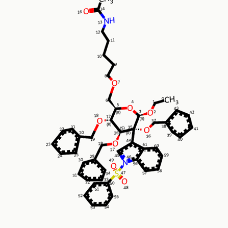 CCO[C@@H]1O[C@H](COCCCCCNC(C)=O)[C@@H](OCc2ccccc2)[C@H](OCc2ccccc2)[C@]1(OCc1ccccc1)c1cn(S(=O)(=O)c2ccccc2)c2ccccc12